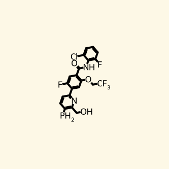 O=C(Nc1c(F)cccc1Cl)c1cc(F)c(-c2ccc(P)c(CO)n2)cc1OCC(F)(F)F